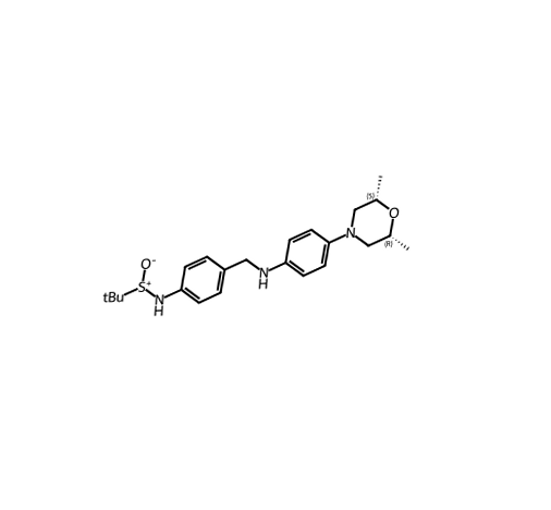 C[C@@H]1CN(c2ccc(NCc3ccc(N[S+]([O-])C(C)(C)C)cc3)cc2)C[C@H](C)O1